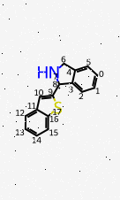 c1ccc2c(c1)CN[C]2c1cc2ccccc2s1